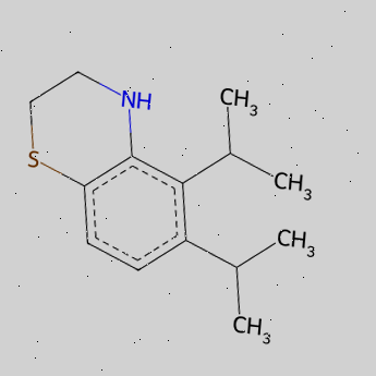 CC(C)c1ccc2c(c1C(C)C)NCCS2